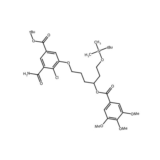 COc1cc(C(=O)OC(CCCOc2cc(C(=O)OC(C)(C)C)cc(C(N)=O)c2Cl)CCO[Si](C)(C)C(C)(C)C)cc(OC)c1OC